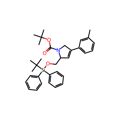 Cc1cccc(C2=CC(CO[Si](c3ccccc3)(c3ccccc3)C(C)(C)C)N(C(=O)OC(C)(C)C)C2)c1